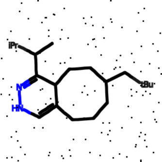 CC(C)C(C)C1=NNC=C2CCCC(CC(C)(C)C)CCC21